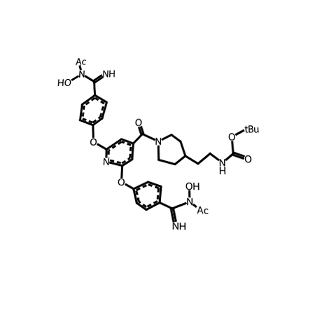 CC(=O)N(O)C(=N)c1ccc(Oc2cc(C(=O)N3CCC(CCNC(=O)OC(C)(C)C)CC3)cc(Oc3ccc(C(=N)N(O)C(C)=O)cc3)n2)cc1